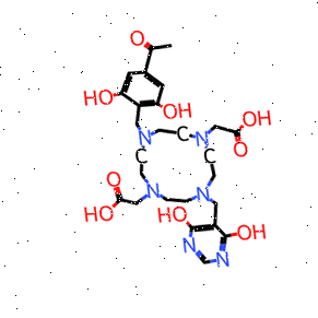 CC(=O)c1cc(O)c(CN2CCN(CC(=O)O)CCN(Cc3c(O)ncnc3O)CCN(CC(=O)O)CC2)c(O)c1